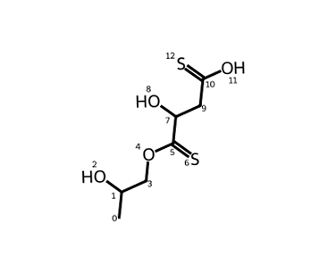 CC(O)COC(=S)C(O)CC(O)=S